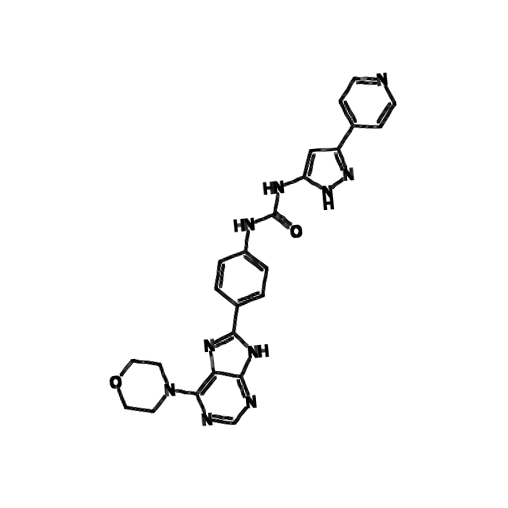 O=C(Nc1ccc(-c2nc3c(N4CCOCC4)ncnc3[nH]2)cc1)Nc1cc(-c2ccncc2)n[nH]1